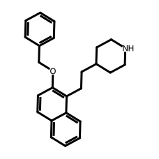 c1ccc(COc2ccc3ccccc3c2CCC2CCNCC2)cc1